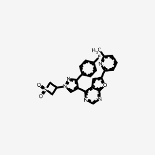 Cc1cccc(-c2cc3c(-c4cn(C5CS(=O)(=O)C5)nc4-c4ccc(F)cc4)ncnc3o2)n1